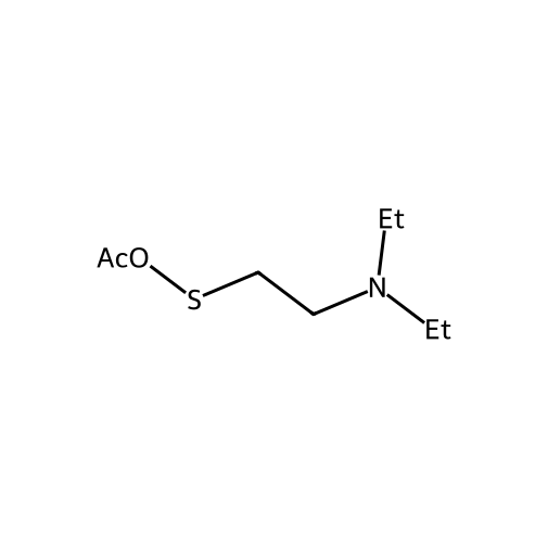 CCN(CC)CCSOC(C)=O